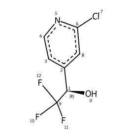 O[C@H](c1ccnc(Cl)c1)C(F)(F)F